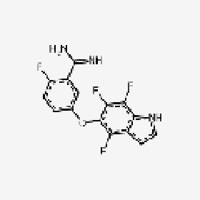 N=C(N)c1cc(Oc2c(F)c(F)c3[nH]ccc3c2F)ccc1F